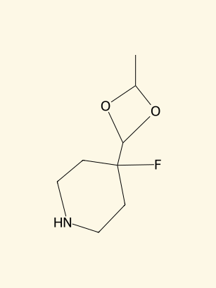 CC1OC(C2(F)CCNCC2)O1